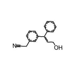 N#CCc1cccc(C(=CCO)c2ccccc2)c1